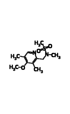 COc1c(C)cnc(CN(C)S(C)(=O)=O)c1C